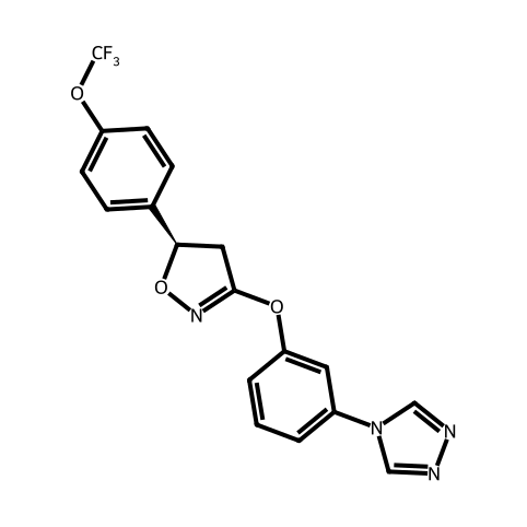 FC(F)(F)Oc1ccc([C@H]2CC(Oc3cccc(-n4cnnc4)c3)=NO2)cc1